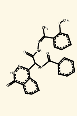 COc1ccccc1C(C)=NNC(=O)C(NC(=O)c1ccccc1)c1n[nH]c(=O)c2ccccc12